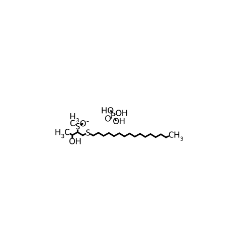 CCCCCCCCCCCCCCCCSCC(C(C)O)[S+](C)[O-].O=P(O)(O)O